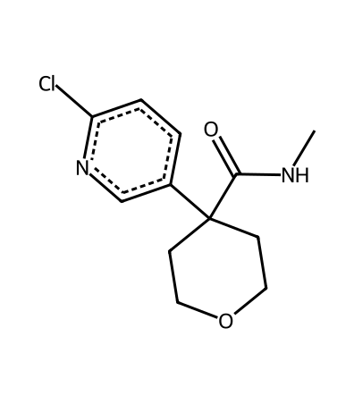 CNC(=O)C1(c2ccc(Cl)nc2)CCOCC1